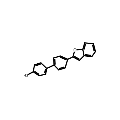 [O]c1ccc(-c2ccc(-c3cc4ccccc4o3)cc2)cc1